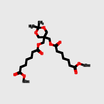 CCCCCCCCCCOC(=O)CCCCCC(=O)OCC1(COC(=O)CCCCCC(=O)OCCCCCCCCCC)COC(C)(C)OC1